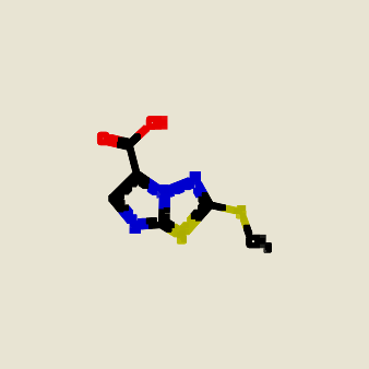 CSc1nn2c(C(=O)O)cnc2s1